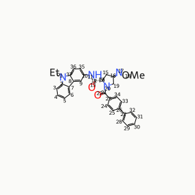 CCn1c2ccccc2c2cc(NC(=O)[C@@H]3CC(=NOC)CN3C(=O)c3ccc(-c4ccccc4)cc3)ccc21